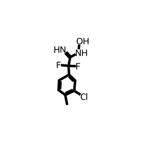 Cc1ccc(C(F)(F)C(=N)NO)cc1Cl